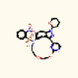 C[C@H]1CCOCCOc2nccc(n2)-c2nn(C3CCCCO3)c3ccc(cc23)N1S(=O)(=O)c1ccccc1[N+](=O)[O-]